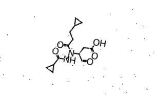 O=C[C@H](CC(=O)O)N(NC(=O)C1CC1)C(=O)CCC1CC1